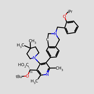 Cc1nc(C)c([C@H](OC(C)(C)C)C(=O)O)c(N2CCC(C)(C)CC2)c1-c1ccc2c(c1)CCN(Cc1ccccc1OC(C)C)C2